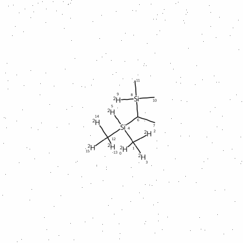 [2H]C([2H])([2H])[Si]([2H])(C(C)[Si]([2H])(C)C)C([2H])([2H])[2H]